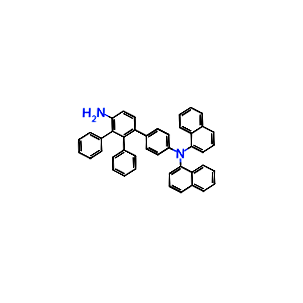 Nc1ccc(-c2ccc(N(c3cccc4ccccc34)c3cccc4ccccc34)cc2)c(-c2ccccc2)c1-c1ccccc1